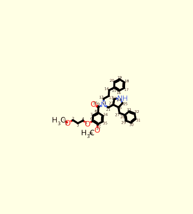 COCCCOc1cc(C(=O)N(CCCc2ccccc2)CC2CNCC2Cc2ccccc2)ccc1OC